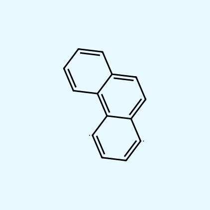 [c]1cc[c]c2c1ccc1ccccc12